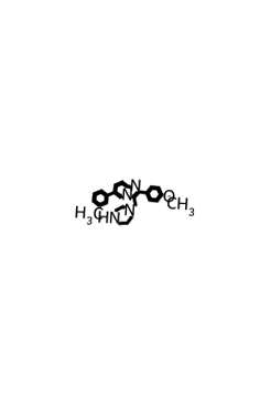 COc1ccc(-c2nc3ccc(-c4cccc(C)c4)cn3c2CN2CCCNCC2)cc1